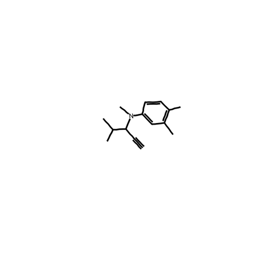 C#CC(C(C)C)N(C)c1ccc(C)c(C)c1